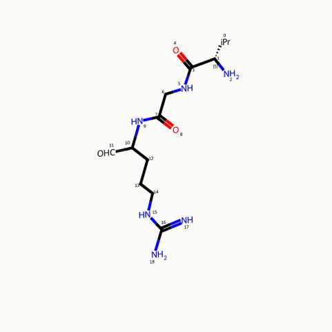 CC(C)[C@H](N)C(=O)NCC(=O)NC(C=O)CCCNC(=N)N